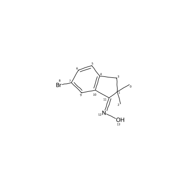 CC1(C)Cc2ccc(Br)cc2/C1=N/O